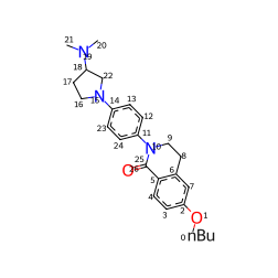 CCCCOc1ccc2c(c1)CCN(c1ccc(N3CCC(N(C)C)C3)cc1)C2=O